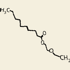 [CH2]COCCOC(=O)CCCCCCCCC